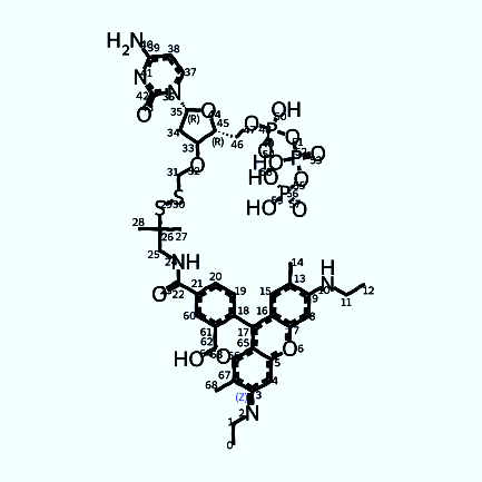 CC/N=c1/cc2oc3cc(NCC)c(C)cc3c(-c3ccc(C(=O)NCC(C)(C)SSCOC4C[C@H](n5ccc(N)nc5=O)O[C@@H]4COP(=O)(O)OP(=O)(O)OP(=O)(O)O)cc3C(=O)O)c-2cc1C